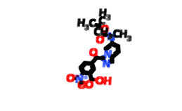 CN(C(=O)OC(C)(C)C)c1ccc2cnc(C(=O)c3ccc([N+](=O)[O-])c(C(=O)O)c3)n2c1